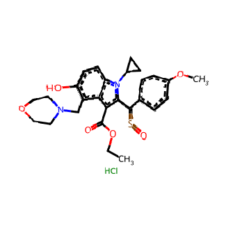 CCOC(=O)c1c(C(=S=O)c2ccc(OC)cc2)n(C2CC2)c2ccc(O)c(CN3CCOCC3)c12.Cl